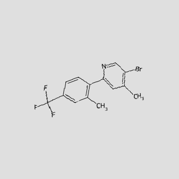 Cc1cc(-c2ccc(C(F)(F)F)cc2C)ncc1Br